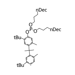 CCCCCCCCCCCCCOP(OCCCCCCCCCCCCC)Oc1cc(C)c(C(C)(C)c2cc(C(C)(C)C)[c]cc2C)cc1C(C)(C)C